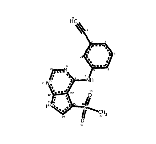 C#Cc1cccc(Nc2ncnc3[nH]cc(S(C)(=O)=O)c23)c1